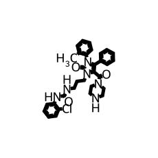 Cc1ccccc1-n1c(-c2ccccc2)c(C(=O)N2CCNCC2)n(CCCNC(=O)Nc2ccccc2Cl)c1=O